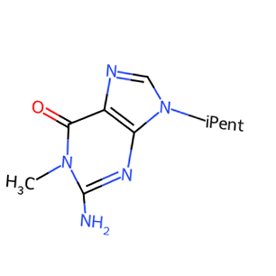 CCCC(C)n1cnc2c(=O)n(C)c(N)nc21